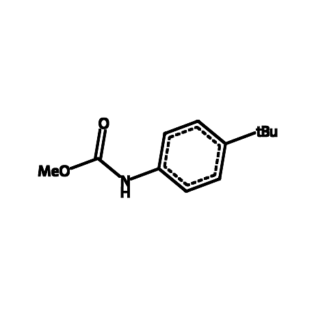 [CH2]OC(=O)Nc1ccc(C(C)(C)C)cc1